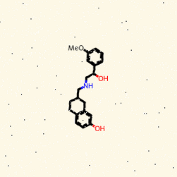 COc1cccc(C(O)CNCC2CCc3ccc(O)cc3C2)c1